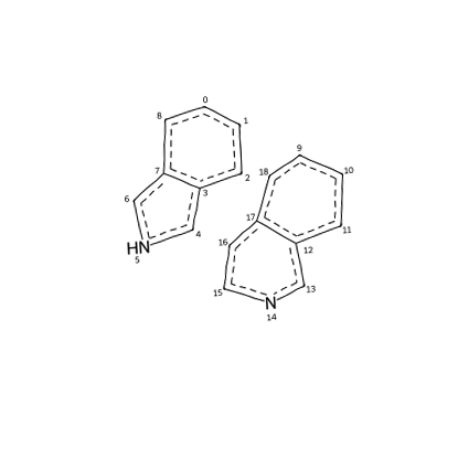 c1ccc2c[nH]cc2c1.c1ccc2cnccc2c1